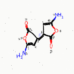 NC1=C/C(=C2/C=C(N)OC2=O)C(=O)O1